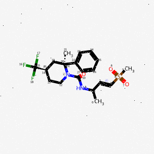 CC(/C=C/S(C)(=O)=O)NC(=O)N1CC[C@@H](C(F)(F)F)C[C@@]1(C)c1ccccc1